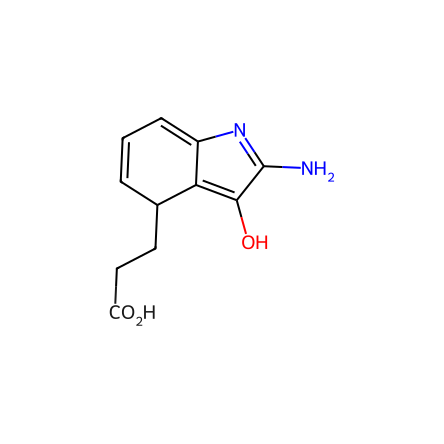 NC1=NC2=CC=CC(CCC(=O)O)C2=C1O